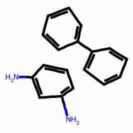 Nc1cccc(N)c1.c1ccc(-c2ccccc2)cc1